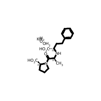 C[C@H](N[C@@H](CCc1ccccc1)C(=O)O)C(=O)N1CCC[C@H]1C(=O)O.O.O.[KH]